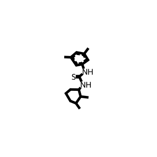 Cc1cc(C)cc(NC(=S)NC2CCCC(C)C2C)c1